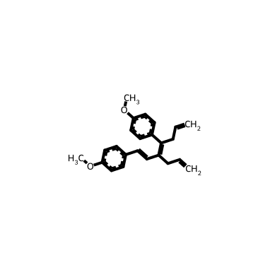 C=CCC(C=Cc1ccc(OC)cc1)=C(CC=C)c1ccc(OC)cc1